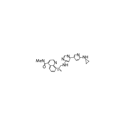 CNC(=O)c1ccnc2c([C@H](C)CNc3cc(-c4ccc(NC5CC5)nc4)ncn3)cccc12